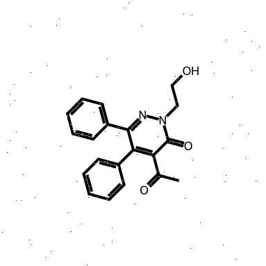 CC(=O)c1c(-c2ccccc2)c(-c2ccccc2)nn(CCO)c1=O